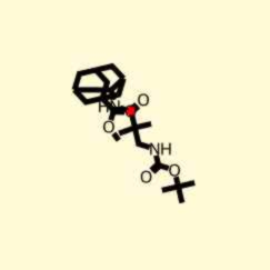 COC(=O)C12CC3CC(C1)C(NC(=O)C(C)(C)CNC(=O)OC(C)(C)C)C(C3)C2